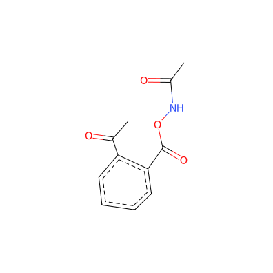 CC(=O)NOC(=O)c1ccccc1C(C)=O